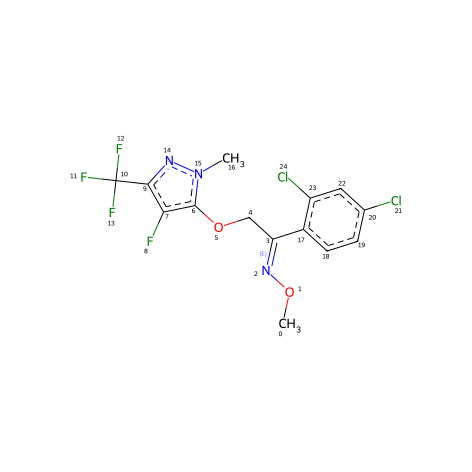 CO/N=C(/COc1c(F)c(C(F)(F)F)nn1C)c1ccc(Cl)cc1Cl